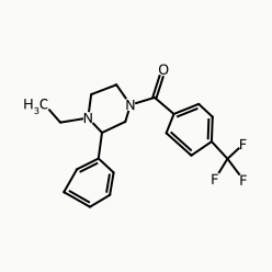 CCN1CCN(C(=O)c2ccc(C(F)(F)F)cc2)CC1c1ccccc1